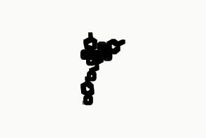 COc1ccc(COCCC(COS(=O)(=O)c2ccc(C)cc2)OS(=O)(=O)c2ccc(C)cc2)cc1